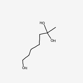 CC(O)(O)CCCCCO